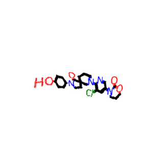 O=C1OCCCN1c1cnc(N2CCCC3(CCN([C@H]4CC[C@H](O)CC4)C3=O)C2)c(Cl)c1